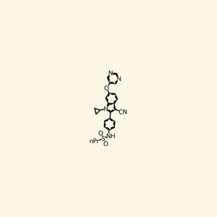 CCCS(=O)(=O)Nc1ccc(-c2c(C#N)c3ccc(Oc4cncnc4)cc3n2C2CC2)cc1